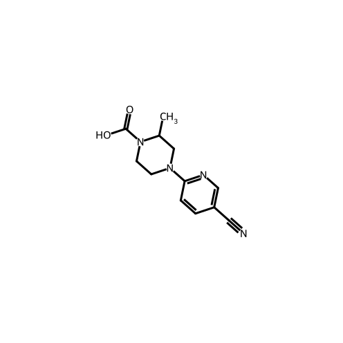 CC1CN(c2ccc(C#N)cn2)CCN1C(=O)O